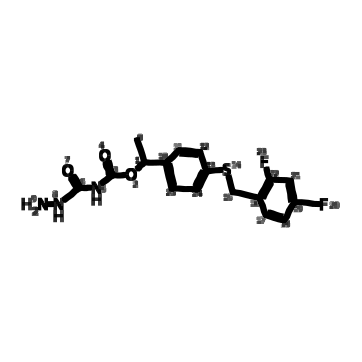 CC(OC(=O)NC(=O)NN)c1ccc(SCc2ccc(F)cc2F)cc1